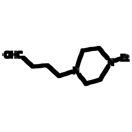 CCN1CCN(CCC[C]=O)CC1